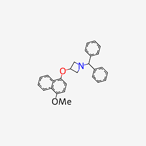 COc1ccc(OC2CN(C(c3ccccc3)c3ccccc3)C2)c2ccccc12